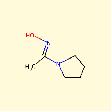 C/C(=N\O)N1CCCC1